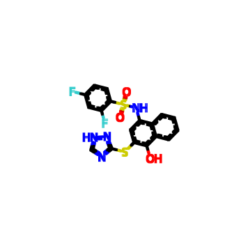 O=S(=O)(Nc1cc(Sc2nc[nH]n2)c(O)c2ccccc12)c1ccc(F)cc1F